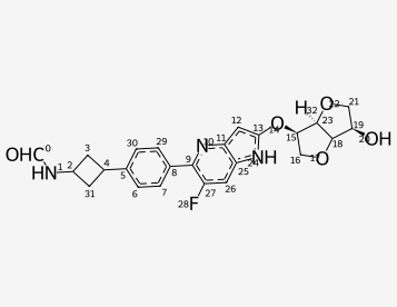 O=CNC1CC(c2ccc(-c3nc4cc(O[C@@H]5COC6[C@H](O)CO[C@@H]65)[nH]c4cc3F)cc2)C1